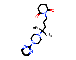 CCCCC(C)(CCCN1C(=O)CCCC1=O)N1CCN(c2ncccn2)CC1